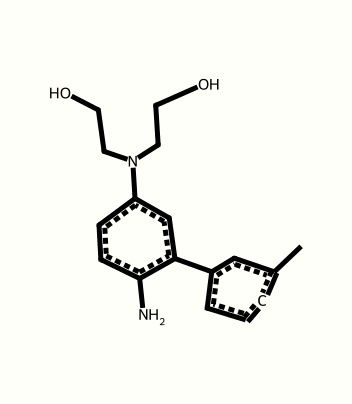 Cc1cccc(-c2cc(N(CCO)CCO)ccc2N)c1